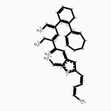 C=C(/C=c1/cc(/C=C\C=C/C)o/c1=C/C)/C(=C/C(=C\C)C1=C(C2=CCCCC=C2)CCC=C1)CC